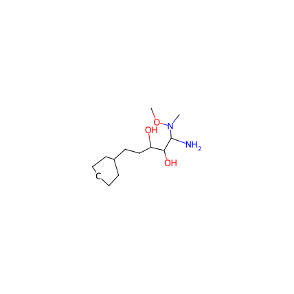 CON(C)C(N)C(O)C(O)CCC1CCCCC1